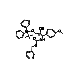 COc1ccc(C(NC(=O)OCc2ccccc2)[C@H](O)CO[Si](c2ccccc2)(c2ccccc2)C(C)(C)C)cc1